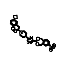 O=C(Cc1cc(Cl)ccc1Cl)N1CCC(c2nc(C3OCc4ccc([N+](=O)[O-])cc4CO3)cs2)CC1